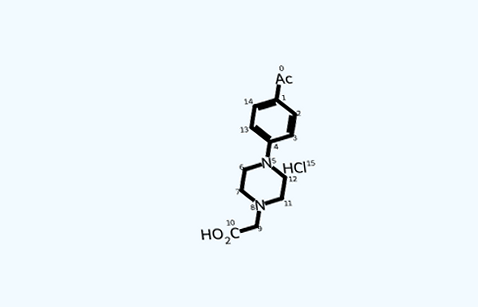 CC(=O)c1ccc(N2CCN(CC(=O)O)CC2)cc1.Cl